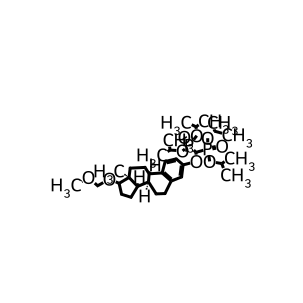 COCOC1CC[C@H]2[C@@H]3CCc4cc(OC(P(=O)(OC(C)C)OC(C)C)P(=O)(OC(C)C)OC(C)C)ccc4[C@H]3CC[C@]12C